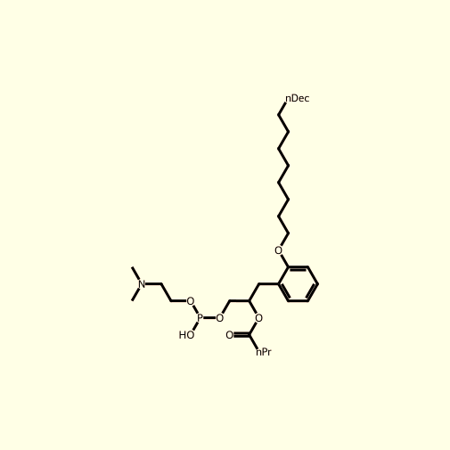 CCCCCCCCCCCCCCCCCCOc1ccccc1CC(COP(O)OCCN(C)C)OC(=O)CCC